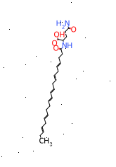 CCC=CCC=CCCC=CC=CCC=CCC=CCCC(=O)NC(CCC(N)=O)C(=O)O